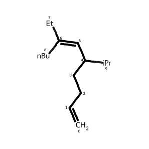 C=CCCC(C=C(CC)CCCC)C(C)C